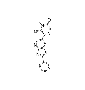 Cn1c(=O)cnn(-c2cnc3nc(-c4cccnc4)sc3c2)c1=O